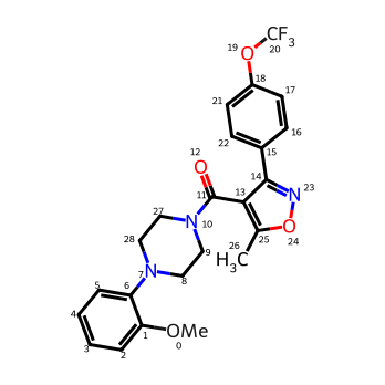 COc1ccccc1N1CCN(C(=O)c2c(-c3ccc(OC(F)(F)F)cc3)noc2C)CC1